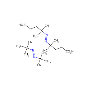 CC(C#N)(CCC(=O)O)N=NC(C)(C#N)CCC(=O)O.CC(C)(C#N)N=NC(C)(C)C#N